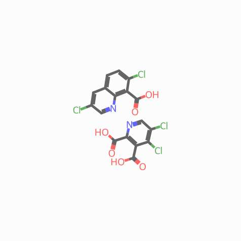 O=C(O)c1c(Cl)ccc2cc(Cl)cnc12.O=C(O)c1ncc(Cl)c(Cl)c1C(=O)O